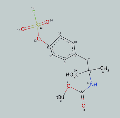 CC(C)(C)OC(=O)NC(C)(Cc1ccc(OS(=O)(=O)F)cc1)C(=O)O